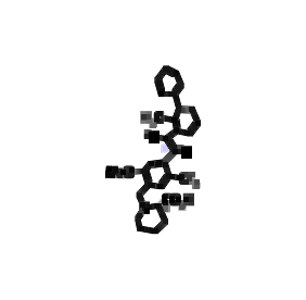 [2H]/C(=C(/[2H])c1cccc(-c2ccccc2)c1C)c1cc(OC)c(CN2CCCC[C@H]2C(=O)O)cc1C(F)(F)F